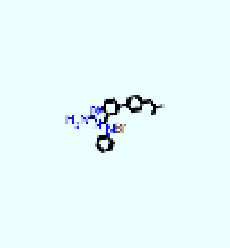 CC(C)Cc1ccc(-c2ccc3nc(N)nc(N(Br)c4ccccc4)c3c2)cc1